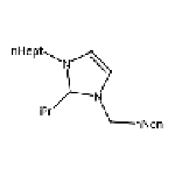 CCCCCCCCCCN1C=CN(CCCCCCC)C1C(C)C